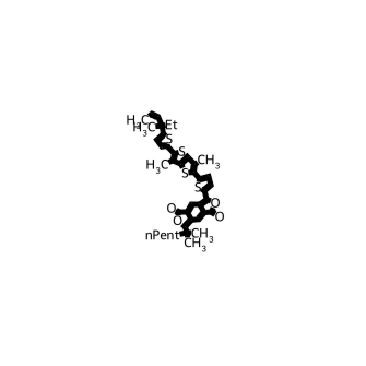 C/C=C\C(C)(CC)c1ccc(-c2sc3c(C)c(-c4ccc(C5=c6cc7c(cc6C(=O)O5)=C(C(C)(C)CCCCC)OC7=O)s4)sc3c2C)s1